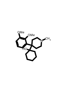 COc1cccc(C2(C3(O)CCCCC3)CCN(C)CC2)c1OC